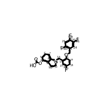 O=C(O)Oc1cccc2c1ccn2Cc1cc(F)ccc1OCc1cc(F)c(F)cc1F